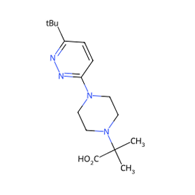 CC(C)(C)c1ccc(N2CCN(C(C)(C)C(=O)O)CC2)nn1